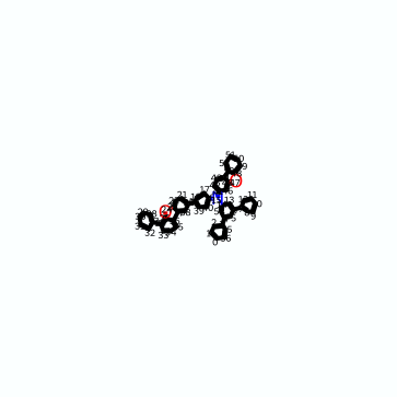 c1ccc(-c2cc(-c3ccccc3)cc(N(c3ccc(-c4ccc5oc6c(-c7ccccc7)cccc6c5c4)cc3)c3ccc4c(c3)oc3ccccc34)c2)cc1